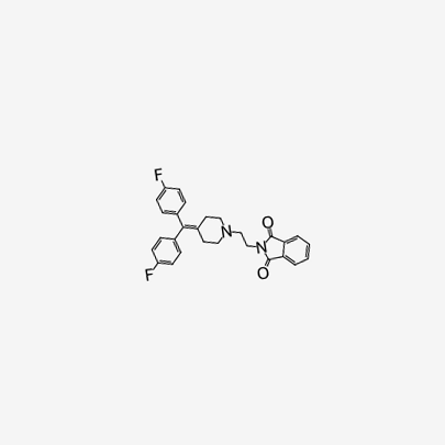 O=C1c2ccccc2C(=O)N1CCN1CCC(=C(c2ccc(F)cc2)c2ccc(F)cc2)CC1